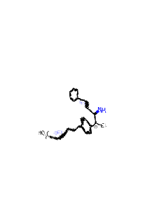 CC[C@H](C(=N)/C=C/c1ccccc1)c1ccc(C/C=C/C(=O)O)cc1